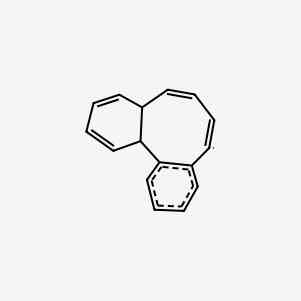 [C]1=C\C=C/C2C=CC=CC2c2ccccc2/1